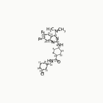 CN(C)c1nc(NC2CCC(C(=O)NCc3cccc(Cl)c3)CC2)nc2cc(F)c(F)cc12